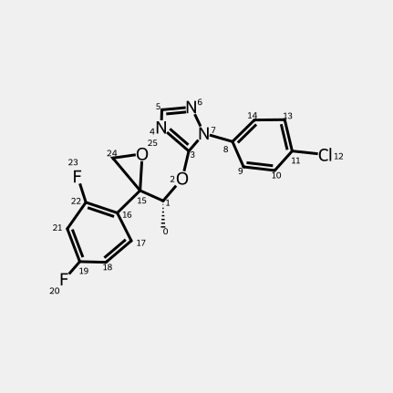 C[C@@H](Oc1ncnn1-c1ccc(Cl)cc1)C1(c2ccc(F)cc2F)CO1